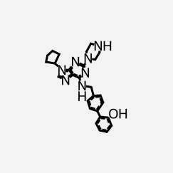 Oc1ccccc1-c1ccc(CNc2nc(N3CCNCC3)nc3c2ncn3C2CCCC2)cc1